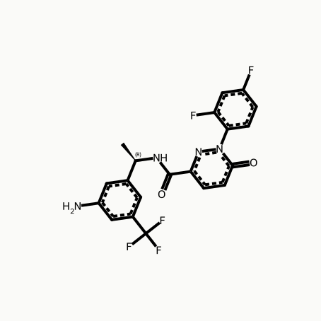 C[C@@H](NC(=O)c1ccc(=O)n(-c2ccc(F)cc2F)n1)c1cc(N)cc(C(F)(F)F)c1